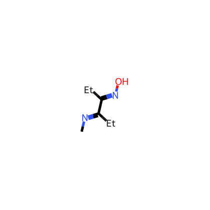 CCC(=N\C)/C(CC)=N/O